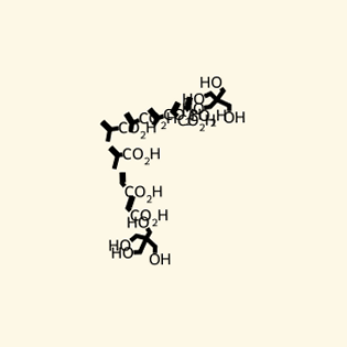 C=C(C)C(=O)O.C=C(C)C(=O)O.C=C(C)C(=O)O.C=C(C)C(=O)O.C=CC(=O)O.C=CC(=O)O.C=CC(=O)O.C=CC(=O)O.OCC(CO)(CO)CO.OCC(CO)(CO)CO